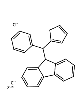 C1=CCC(C(c2ccccc2)C2c3ccccc3-c3ccccc32)=C1.[Cl-].[Cl-].[Zr+2]